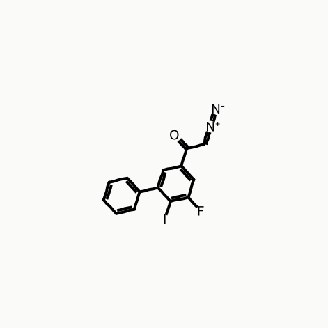 [N-]=[N+]=CC(=O)c1cc(F)c(I)c(-c2ccccc2)c1